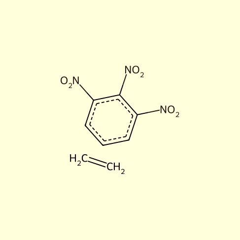 C=C.O=[N+]([O-])c1cccc([N+](=O)[O-])c1[N+](=O)[O-]